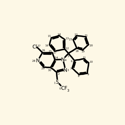 FC(F)(F)Sc1nn(C(c2ccccc2)(c2ccccc2)c2ccccc2)c2cc(Cl)ncc12